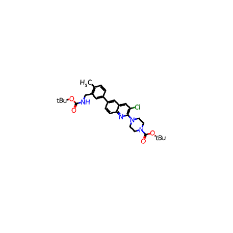 Cc1ccc(-c2ccc3nc(N4CCN(C(=O)OC(C)(C)C)CC4)c(Cl)cc3c2)cc1CNC(=O)OC(C)(C)C